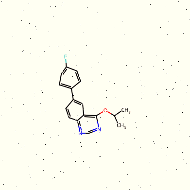 CC(C)Oc1ncnc2ccc(-c3ccc(F)cc3)cc12